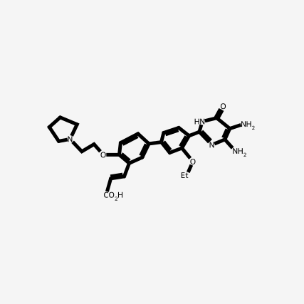 CCOc1cc(-c2ccc(OCCN3CCCC3)c(/C=C/C(=O)O)c2)ccc1-c1nc(N)c(N)c(=O)[nH]1